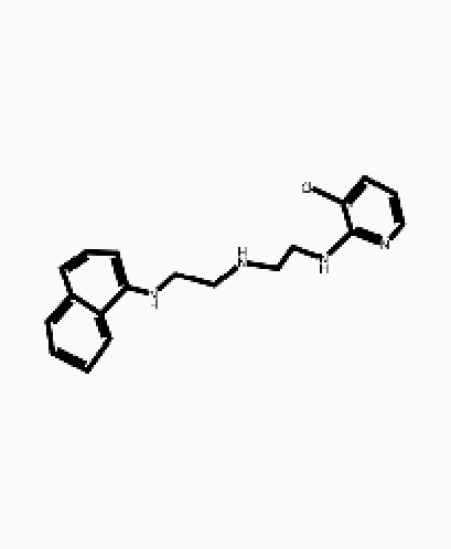 Clc1cccnc1NCCNCCNc1cccc2ccccc12